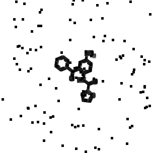 O=C(Nc1ccc([N+](=O)[O-])cc1C(=O)c1ccccc1)c1ccco1